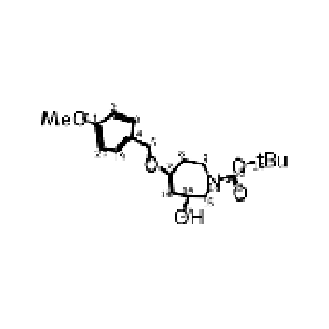 COc1ccc(COC2CCN(C(=O)OC(C)(C)C)CC(O)C2)cc1